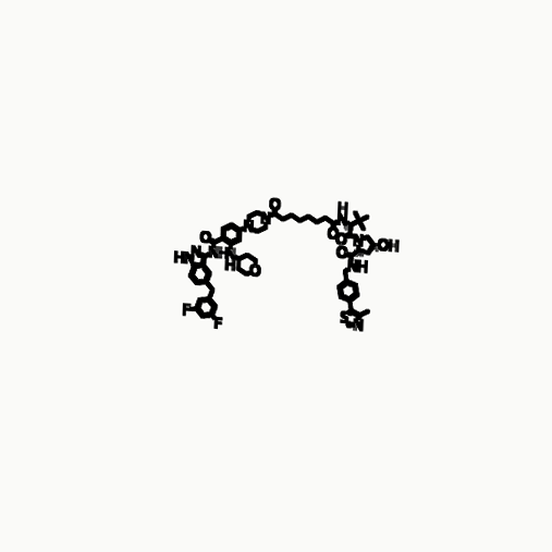 Cc1ncsc1-c1ccc(CNC(=O)[C@@H]2C[C@@H](O)CN2C(=O)[C@@H](NC(=O)CCCCCCC(=O)N2CCN(c3ccc(C(=O)Nc4n[nH]c5ccc(Cc6cc(F)cc(F)c6)cc45)c(NC4CCOCC4)c3)CC2)C(C)(C)C)cc1